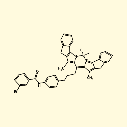 CCc1cccc(C(=O)Nc2ccc(CCCC3=C4C(C)=C5Cc6ccccc6C5=[N+]4[B-](F)(F)n4c3c(C)c3c4-c4ccccc4C3)cc2)c1